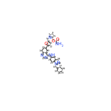 NC(=O)O[C@H]1CCCN1Cc1ccc(-c2ccc3ncnc(Nc4ccc5c(cnn5Cc5ccccc5)c4)c3c2)o1